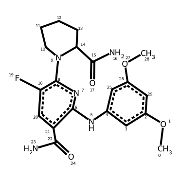 COc1cc(Nc2nc(N3CCCCC3C(N)=O)c(F)cc2C(N)=O)cc(OC)c1